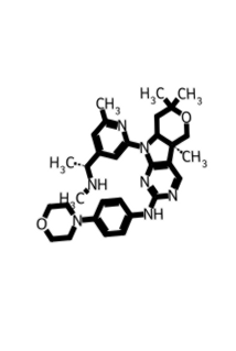 CN[C@H](C)c1cc(C)nc(N2c3nc(Nc4ccc(N5CCOCC5)cc4)ncc3[C@]3(C)COC(C)(C)CC23)c1